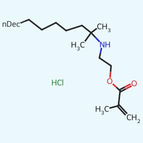 C=C(C)C(=O)OCCNC(C)(C)CCCCCCCCCCCCCCC.Cl